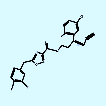 C#C/C=C(/CCNC(=O)c1noc(Cc2ccc(F)c(F)c2)n1)c1cc(Cl)ccc1C